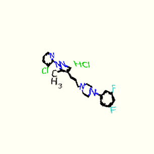 Cc1c(/C=C/CN2CCN(c3cc(F)cc(F)c3)CC2)cnn1-c1ncccc1Cl.Cl